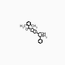 Cc1cccc(C)c1C(=O)N1CC2CN(C(CO)C[C@H](N)c3ccccc3)CC2C1